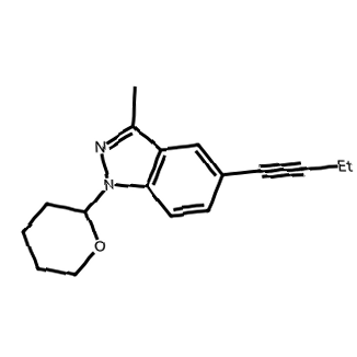 CCC#Cc1ccc2c(c1)c(C)nn2C1CCCCO1